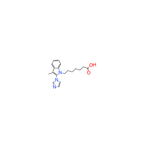 Cc1c(-n2ccnc2)n(CCCCCCC(=O)O)c2ccccc12